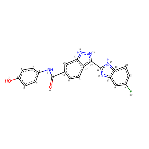 O=C(Nc1ccc(O)cc1)c1ccc2c(-c3nc4cc(F)ccc4[nH]3)n[nH]c2c1